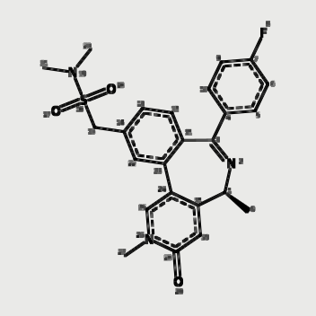 C[C@@H]1N=C(c2ccc(F)cc2)c2ccc(CS(=O)(=O)N(C)C)cc2-c2cn(C)c(=O)cc21